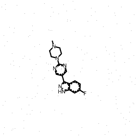 CN1CCN(c2ncc(-c3n[nH]c4cc(F)ccc34)cn2)CC1